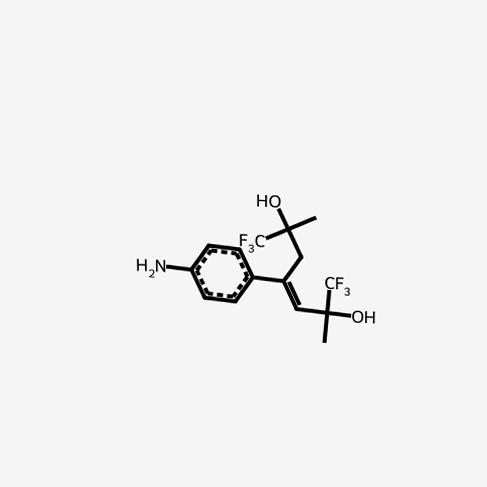 CC(O)(/C=C(\CC(C)(O)C(F)(F)F)c1ccc(N)cc1)C(F)(F)F